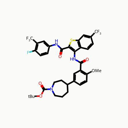 COc1ccc(C2CCCN(C(=O)OC(C)(C)C)CC2)cc1C(=O)Nc1c(C(=O)Nc2ccc(F)c(C(F)(F)F)c2)sc2cc(C(F)(F)F)ccc12